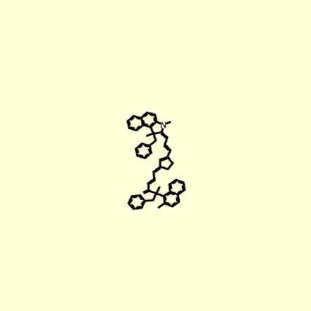 C=C(/C=C/C=C1C=C(/C=C/C=C2/N(C)c3ccc4ccccc4c3C2(C)Cc2ccccc2)CC/1)C(C)(Cc1ccccc1)c1c(C)ccc2ccccc12